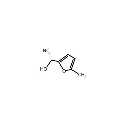 Cc1ccc([C@H](O)C#N)o1